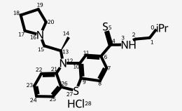 CC(C)CCNC(=S)c1ccc2c(c1)N([C@H](C)CN1CCCC1)c1ccccc1S2.Cl